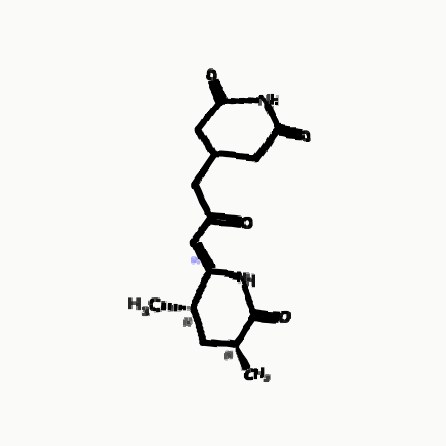 C[C@H]1C[C@H](C)/C(=C/C(=O)CC2CC(=O)NC(=O)C2)NC1=O